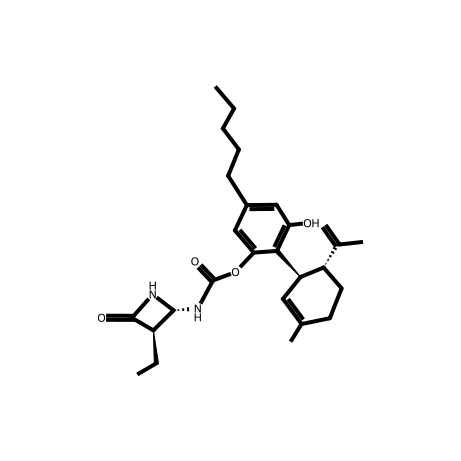 C=C(C)[C@@H]1CCC(C)=C[C@H]1c1c(O)cc(CCCCC)cc1OC(=O)N[C@H]1NC(=O)[C@@H]1CC